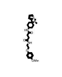 COc1ccc(OCCNC(=O)CCC(=O)NC2CCC(c3cccs3)(N(C)C)CC2)cc1